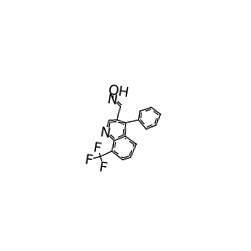 ON=Cc1cnc2c(C(F)(F)F)cccc2c1-c1ccccc1